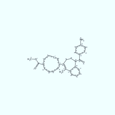 COC(=O)c1ccccc(C2=C(C)c3ccccc3N(C(=O)c3ccc(N)cc3)CC2)cccc1